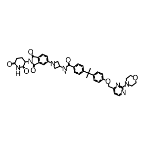 CN(C(=O)c1ccc(C(C)(C)c2ccc(OCc3ccnc(N4CCOCC4)n3)cc2)cc1)C1CN(c2ccc3c(c2)C(=O)N(C2CCC(=O)NC2=O)C3=O)C1